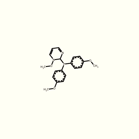 COc1ccc(P(c2ccc(OC)cc2)C2N=CC=CN2OC)cc1